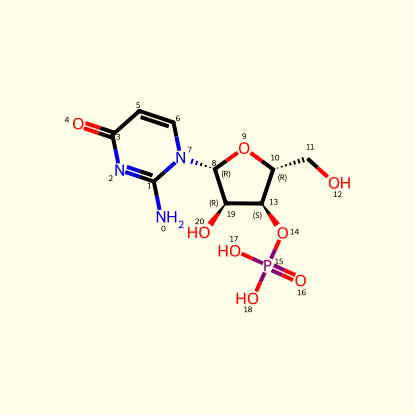 Nc1nc(=O)ccn1[C@@H]1O[C@H](CO)[C@@H](OP(=O)(O)O)[C@H]1O